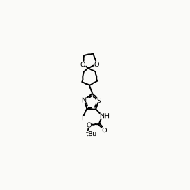 CC(C)(C)OC(=O)Nc1sc(C2CCC3(CC2)OCCO3)nc1I